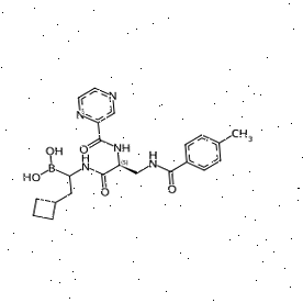 Cc1ccc(C(=O)NC[C@H](NC(=O)c2cnccn2)C(=O)NC(CC2CCC2)B(O)O)cc1